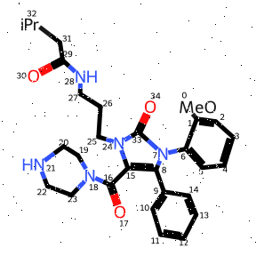 COc1ccccc1-n1c(-c2ccccc2)c(C(=O)N2CCNCC2)n(CCCNC(=O)CC(C)C)c1=O